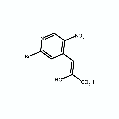 O=C(O)C(O)=Cc1cc(Br)ncc1[N+](=O)[O-]